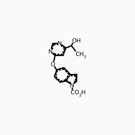 CC(O)c1cc(Oc2ccc3c(ccn3C(=O)O)c2)ncn1